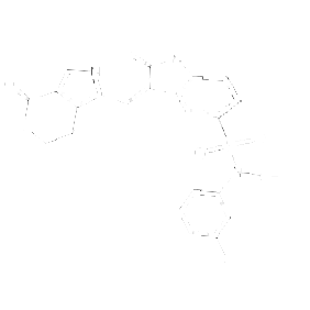 CN(c1cccc(Cl)c1)S(=O)(=O)c1ccc2c(c1)C(=Cc1[nH]cc3c1CCOC3=O)C(=O)N2